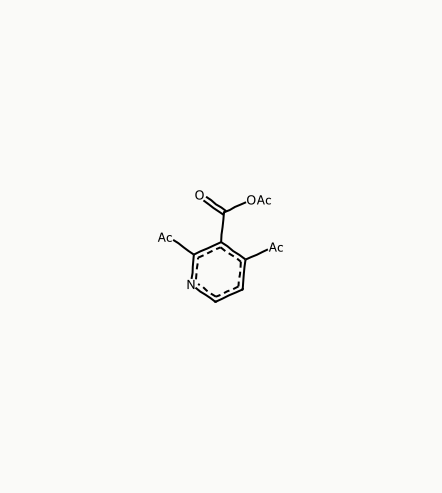 CC(=O)OC(=O)c1c(C(C)=O)ccnc1C(C)=O